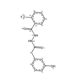 O=C(Cc1cccc(O)c1)NNC(=O)c1ccccc1C(F)(F)F